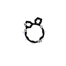 C1=C\C=N/c2cc(ccn2)-c2ccccc2O/C=C\C=C/N\C=C/1